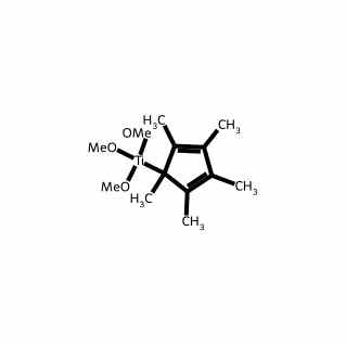 C[O][Ti]([O]C)([O]C)[C]1(C)C(C)=C(C)C(C)=C1C